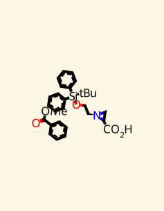 CC(C)(C)[Si](OCC[N@@]1CC1C(=O)O)(c1ccccc1)c1ccccc1.COC(=O)c1ccccc1